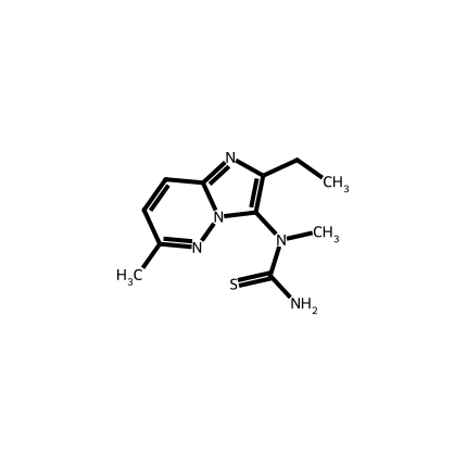 CCc1nc2ccc(C)nn2c1N(C)C(N)=S